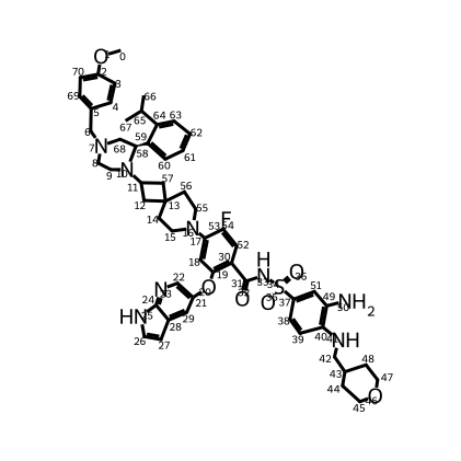 COc1ccc(CN2CCN(C3CC4(CCN(c5cc(Oc6cnc7[nH]ccc7c6)c(C(=O)NS(=O)(=O)c6ccc(NCC7CCOCC7)c(N)c6)cc5F)CC4)C3)[C@H](c3ccccc3C(C)C)C2)cc1